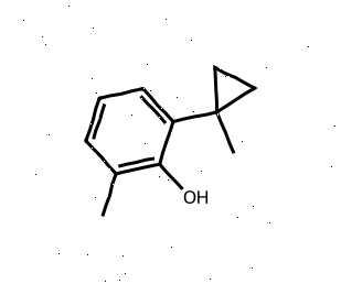 Cc1cccc(C2(C)CC2)c1O